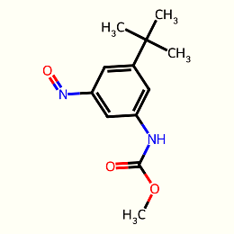 COC(=O)Nc1cc(N=O)cc(C(C)(C)C)c1